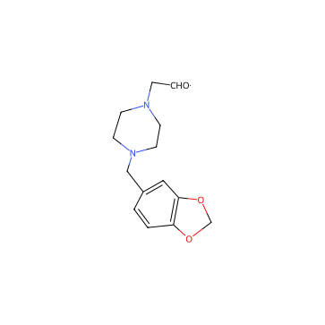 O=[C]CN1CCN(Cc2ccc3c(c2)OCO3)CC1